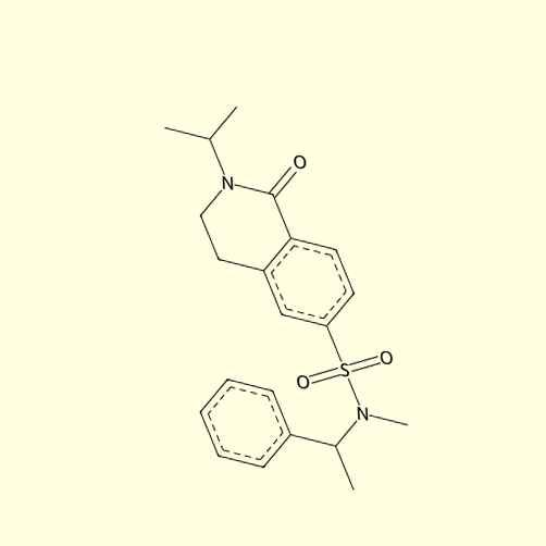 CC(C)N1CCc2cc(S(=O)(=O)N(C)C(C)c3ccccc3)ccc2C1=O